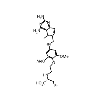 COc1cc(NCc2ccc3nc(N)nc(N)c3c2C)cc(OC)c1OCCN[C@H](CC(C)C)C(=O)O